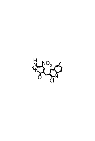 Cc1ccc2nc(Cl)c(Cc3cc([N+](=O)[O-])c4n(c3=O)CCN4)cc2c1